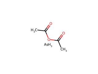 CC(=O)OC(C)=O.[AsH3]